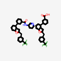 O=C(Nc1cccnc1)c1cccc(-c2cccc3oc(Cc4cccc(C(F)(F)F)c4)cc23)c1.O=C(O)c1cccc(-c2cccc3oc(Cc4cccc(C(F)(F)F)c4)cc23)c1